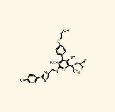 [C-]#[N+]c1c(N(C)CC(F)F)nc(SCc2csc(-c3ccc(Cl)cc3)n2)c(C#N)c1-c1ccc(OCCO)cc1